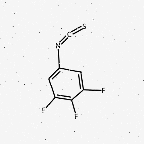 Fc1cc(N=C=S)cc(F)c1F